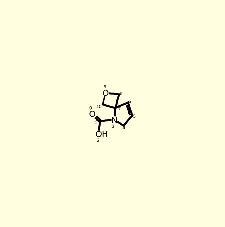 O=C(O)N1CC=CC12COC2